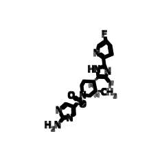 C[C@@H]1CN(S(=O)(=O)c2cnc(N)nc2)CC[C@@H]1c1[nH]c(-c2ccc(F)cn2)nc1F